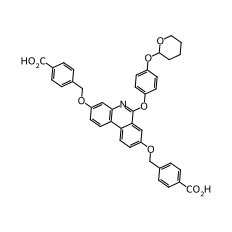 O=C(O)c1ccc(COc2ccc3c(c2)nc(Oc2ccc(OC4CCCCO4)cc2)c2cc(OCc4ccc(C(=O)O)cc4)ccc23)cc1